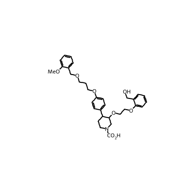 COc1ccccc1COCCCOc1ccc(C2CCN(C(=O)O)CC2OCCOc2ccccc2CO)cc1